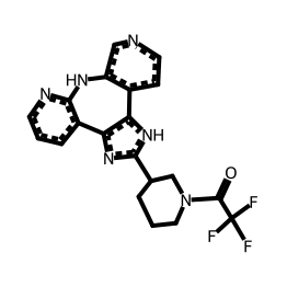 O=C(N1CCCC(c2nc3c([nH]2)-c2ccncc2Nc2ncccc2-3)C1)C(F)(F)F